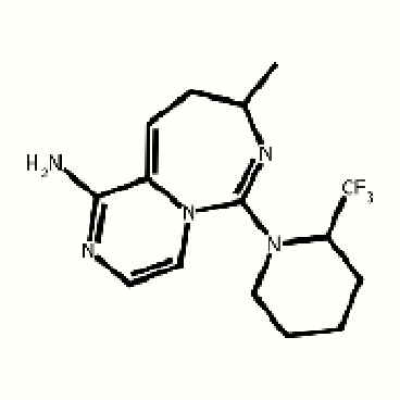 CC1CC=C2C(N)=NC=CN2C(N2CCCCC2C(F)(F)F)=N1